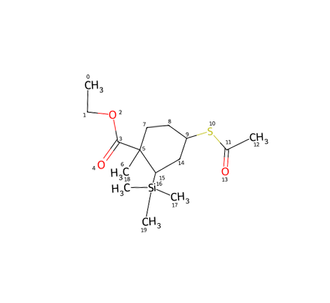 CCOC(=O)C1(C)CCC(SC(C)=O)CC1[Si](C)(C)C